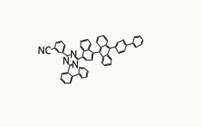 N#Cc1cccc(-c2nc(-c3ccccc3-c3ccccc3)nc(-c3ccc(-c4c5ccccc5c(-c5ccc(-c6ccccc6)cc5)c5ccccc45)c4ccccc34)n2)c1